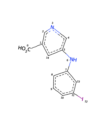 O=C(O)c1cncc(Nc2cccc(I)c2)c1